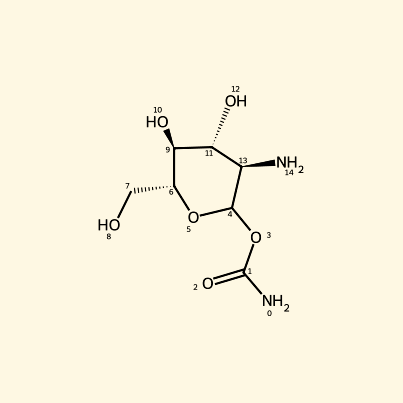 NC(=O)OC1O[C@H](CO)[C@@H](O)[C@H](O)[C@H]1N